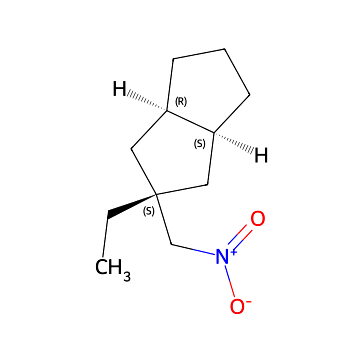 CC[C@@]1(C[N+](=O)[O-])C[C@H]2CCC[C@H]2C1